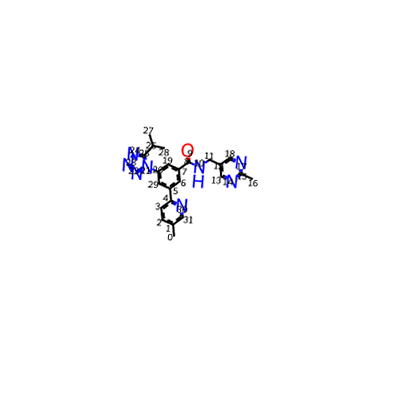 Cc1ccc(-c2cc(C(=O)NCc3cnc(C)nc3)cc(-n3nnnc3C(C)C)c2)nc1